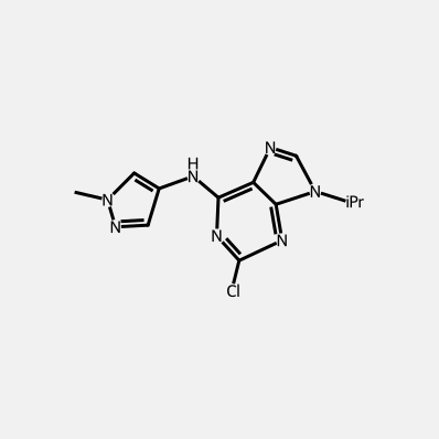 CC(C)n1cnc2c(Nc3cnn(C)c3)nc(Cl)nc21